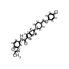 Cc1nc2cc(NC(=O)c3cc4sc(N5CCC(COc6ccc(Cl)cc6)CC5)nc4s3)ccc2o1